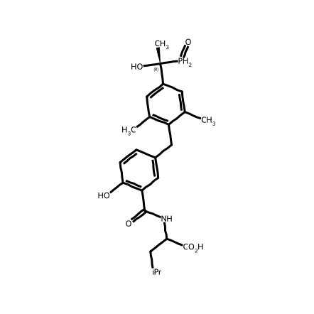 Cc1cc([C@](C)(O)[PH2]=O)cc(C)c1Cc1ccc(O)c(C(=O)NC(CC(C)C)C(=O)O)c1